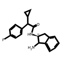 NC1c2ccccc2C[C@@H]1NC(=O)C(c1ccc(F)cc1)C1CC1